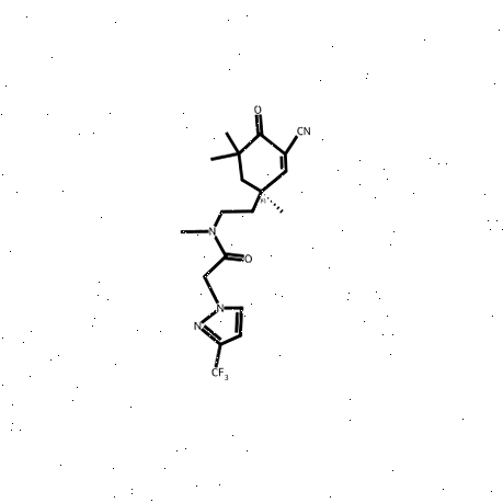 CN(CC[C@]1(C)C=C(C#N)C(=O)C(C)(C)C1)C(=O)Cn1ccc(C(F)(F)F)n1